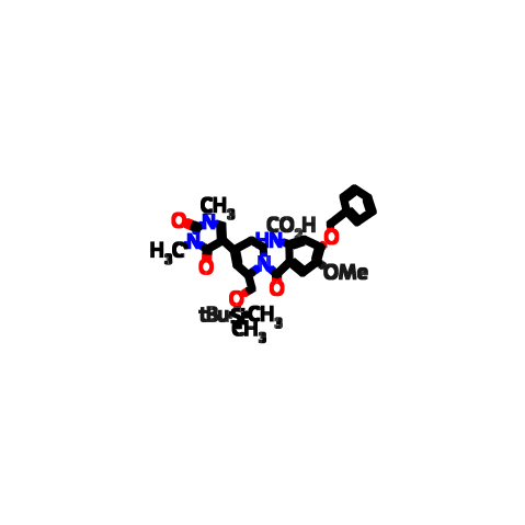 COc1cc(C(=O)N2CCC(c3cn(C)c(=O)n(C)c3=O)=CC2CO[Si](C)(C)C(C)(C)C)c(NC(=O)O)cc1OCc1ccccc1